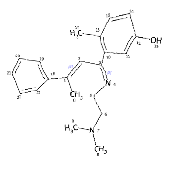 C/C(=C\C(=N/CCN(C)C)c1cc(O)ccc1C)c1ccccc1